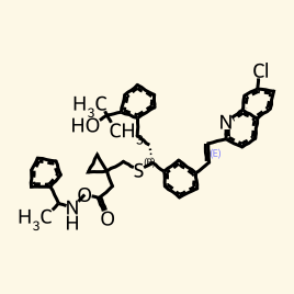 CC(NOC(=O)CC1(CS[C@H](CCc2ccccc2C(C)(C)O)c2cccc(/C=C/c3ccc4ccc(Cl)cc4n3)c2)CC1)c1ccccc1